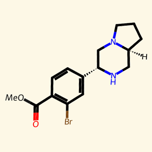 COC(=O)c1ccc([C@@H]2CN3CCC[C@H]3CN2)cc1Br